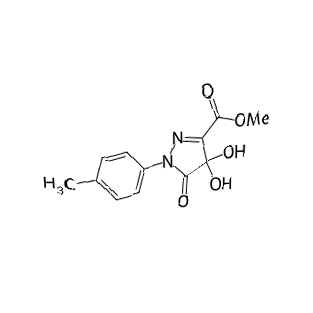 COC(=O)C1=NN(c2ccc(C)cc2)C(=O)C1(O)O